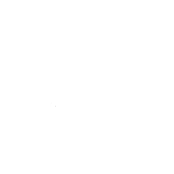 CCCCc1cc(C(=O)OC)cc(=O)[nH]1